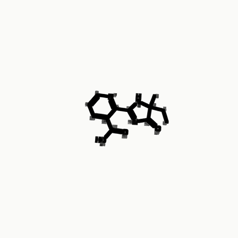 CCC1(C)NC(c2ncccc2C(=O)O)=NC1=O